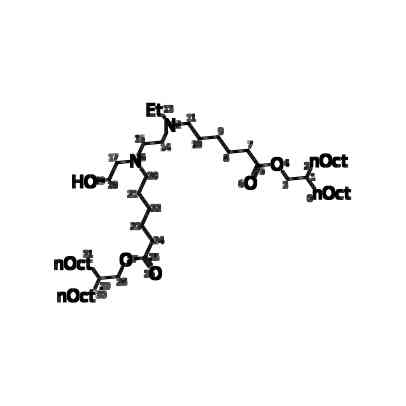 CCCCCCCCC(CCCCCCCC)COC(=O)CCCCCN(CC)CCN(CCO)CCCCCC(=O)OCC(CCCCCCCC)CCCCCCCC